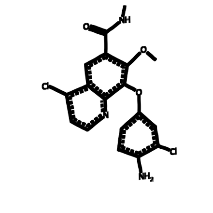 CNC(=O)c1cc2c(Cl)ccnc2c(Oc2ccc(N)c(Cl)c2)c1OC